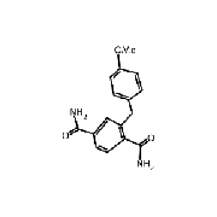 COc1ccc(Cc2cc(C(N)=O)ccc2C(N)=O)cc1